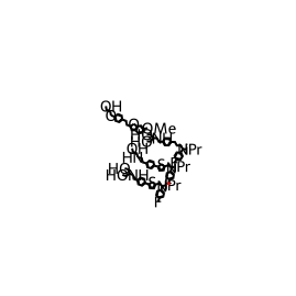 CC(C)N(CCCc1ccc(CNC(CO)CO)cc1)c1ccc(F)cc1.CC(C)N(Cc1ccc(-c2ccc(CCNCCO)cc2)s1)c1ccc(F)cc1.CC(C)N(Cc1ccc(-c2ccc(CNC(CO)CO)cc2)s1)c1ccc(F)cc1.COc1ccc2c(c1)OC(CCc1ccc(OCCO)cc1)C2